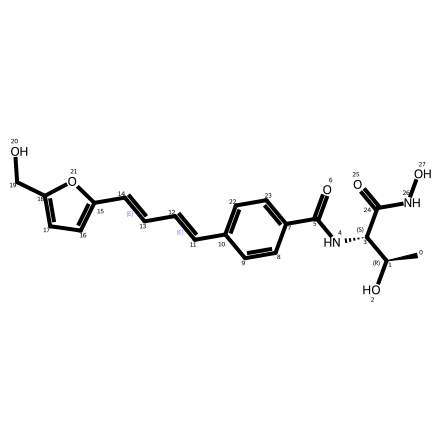 C[C@@H](O)[C@H](NC(=O)c1ccc(/C=C/C=C/c2ccc(CO)o2)cc1)C(=O)NO